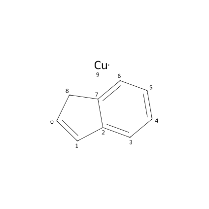 C1=Cc2ccccc2C1.[Cu]